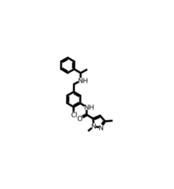 Cc1cc(C(=O)Nc2cc(CNC(C)c3ccccc3)ccc2Cl)n(C)n1